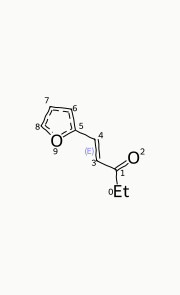 CCC(=O)/C=C/c1ccco1